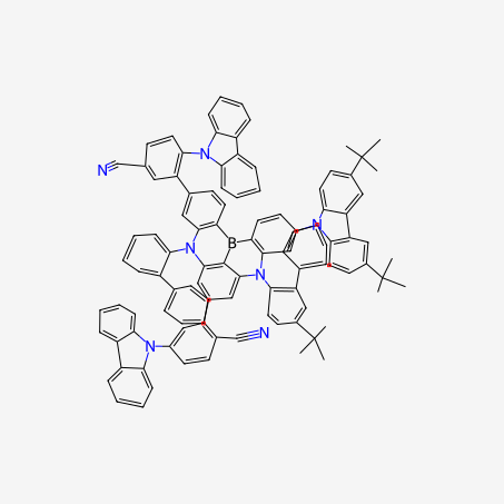 CC(C)(C)c1ccc(N2c3cc(-n4c5ccc(C(C)(C)C)cc5c5cc(C(C)(C)C)ccc54)ccc3B3c4ccc(-c5cc(C#N)ccc5-n5c6ccccc6c6ccccc65)cc4N(c4ccccc4-c4ccccc4)c4cc(-c5cc(-n6c7ccccc7c7ccccc76)ccc5C#N)cc2c43)c(-c2ccccc2)c1